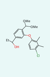 CCC(O)c1ccc(C(OC)OC)c(Oc2ccc(Cl)c(C)c2C)c1